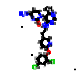 Cc1ncnc(NCCc2ccc(Oc3ccc(Cl)cc3Cl)nc2)c1-n1ccc(N)nc1=O